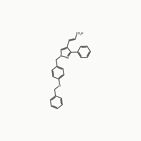 O=C(O)C=Cc1cn(Cc2ccc(OCc3ccccc3)cc2)nc1-c1ccccc1